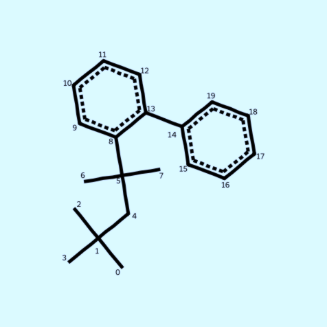 CC(C)(C)CC(C)(C)c1ccccc1-c1ccccc1